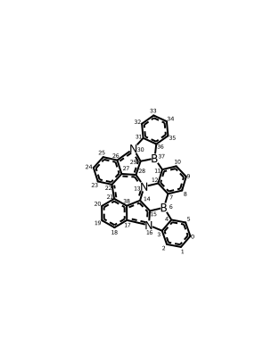 c1ccc2c(c1)B1c3cccc4c3-n3c5c1n-2c1cccc(c2cccc6c2c3c2n6-c3ccccc3B42)c15